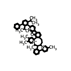 C=C1C2c3ccccc3-c3ccc(C)c[n+]3C2CCc2ccc3c(oc4nc(-c5c(C(C)C)ccc(-c6ccccc6)c5C(C)C)ccc43)c2-c2cc(C)c(C)c[n+]21